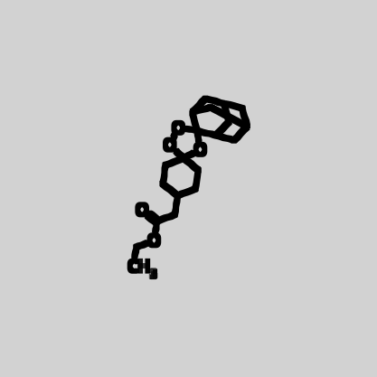 CCOC(=O)CC1CCC2(CC1)OOC1(O2)C2CC3CC(C2)CC1C3